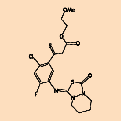 COCCOC(=O)CC(=S)c1cc(N=c2sc(=O)n3n2CCCC3)c(F)cc1Cl